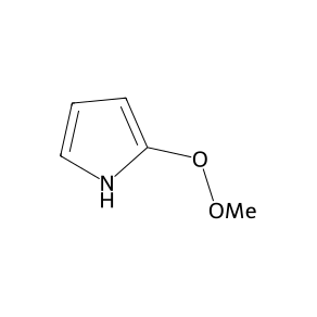 COOc1ccc[nH]1